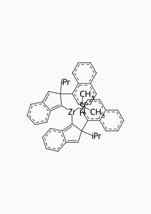 CC(C)C1(c2cccc3ccccc23)C=c2ccccc2=[C]1[Zr]([C]1=c2ccccc2=CC1(c1cccc2ccccc12)C(C)C)[SiH](C)C